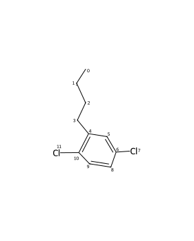 C[CH]CCc1cc(Cl)ccc1Cl